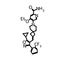 CCOc1cc(C(N)=O)ncc1N1CCC2(CC1)CC(=Cc1c(-c3ccccc3C(F)(F)F)noc1C1CC1)C2